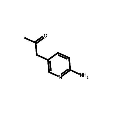 CC(=O)Cc1ccc(N)nc1